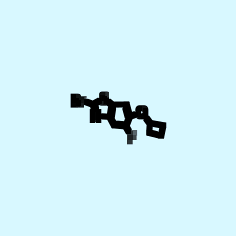 Fc1cc2nc(Br)sc2cc1OC1CCC1